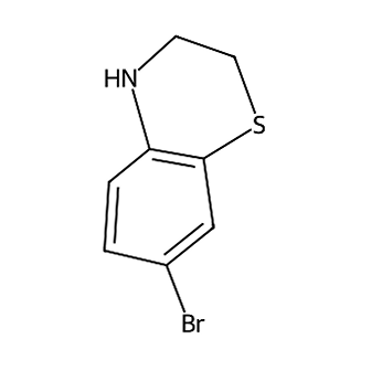 Brc1ccc2c(c1)SCCN2